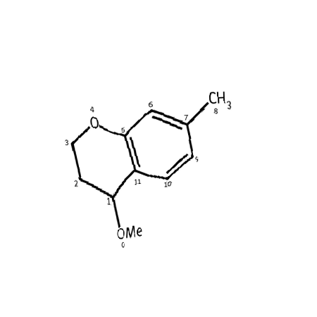 COC1CCOc2cc(C)ccc21